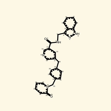 O=C(NCc1n[nH]c2ccccc12)c1cncc(Cc2ccc(Cn3ccccc3=O)cc2)c1